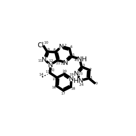 Cc1cc(Nc2cnc3c(Cl)nn([C@@H](C)c4cccnc4)c3n2)n[nH]1